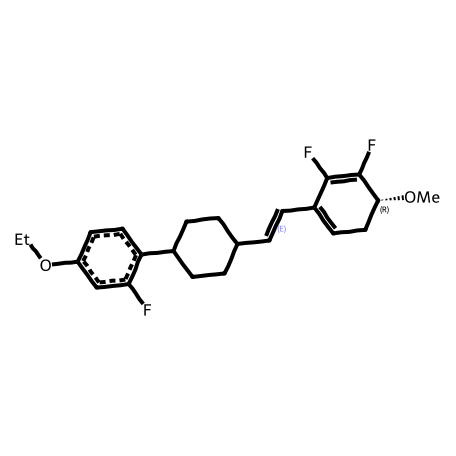 CCOc1ccc(C2CCC(/C=C/C3=CC[C@@H](OC)C(F)=C3F)CC2)c(F)c1